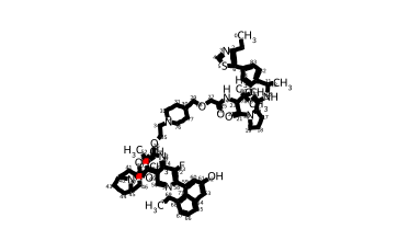 CCc1ncsc1-c1ccc(C(C)NC(=O)C2CCCN2C(=O)C(NC(=O)COCC2CCN(CCOc3nc(N4CC5CCC(C4)N5C(=O)OC(C)(C)C)c4cnc(-c5cc(O)cc6cccc(CC)c56)c(F)c4n3)CC2)C(C)(C)C)cc1